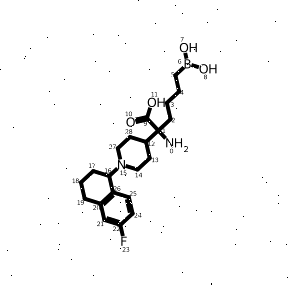 NC(CCCCB(O)O)(C(=O)O)C1CCN(C2CCCc3cc(F)ccc32)CC1